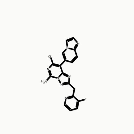 Nc1nc(Cl)c(-c2ccc3nccn3c2)c2nc(Cc3ncccc3F)nn12